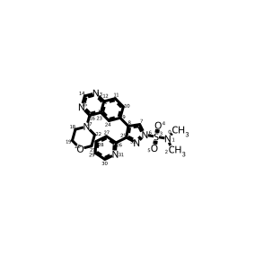 CN(C)S(=O)(=O)n1cc(-c2ccc3ncnc(N4CCOCC4)c3c2)c(-c2ccccn2)n1